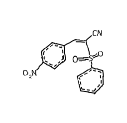 N#CC(=Cc1ccc([N+](=O)[O-])cc1)S(=O)(=O)c1ccccc1